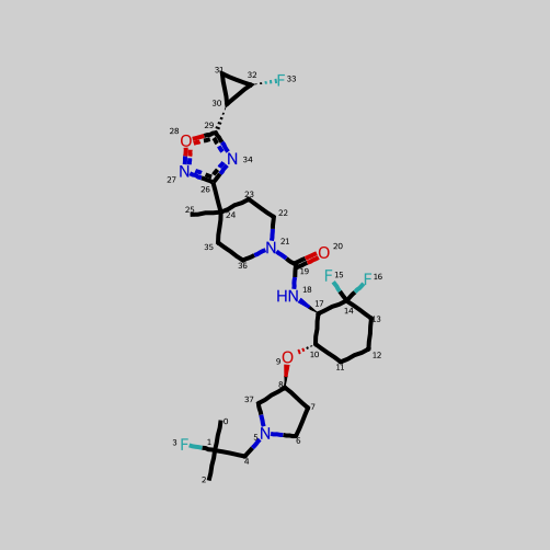 CC(C)(F)CN1CC[C@H](O[C@H]2CCCC(F)(F)[C@@H]2NC(=O)N2CCC(C)(c3noc([C@@H]4C[C@@H]4F)n3)CC2)C1